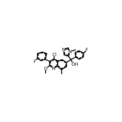 COc1nc2c(C)cc(C(O)(c3ccc(F)cc3)c3cncn3C)cc2c(Cl)c1-c1cccc(F)c1